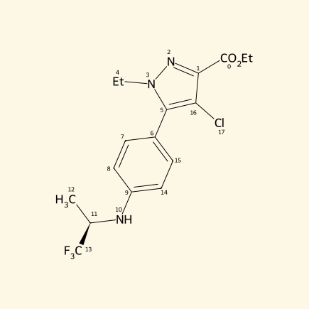 CCOC(=O)c1nn(CC)c(-c2ccc(N[C@H](C)C(F)(F)F)cc2)c1Cl